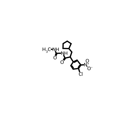 CNC(=O)NC(=O)C(CC1CCCC1)c1ccc(Cl)c([N+](=O)[O-])c1